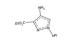 CCCn1cc(N)c(C(=O)OCC)n1